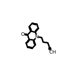 C#CCCCn1c2ccccc2c(=O)c2ccccc21